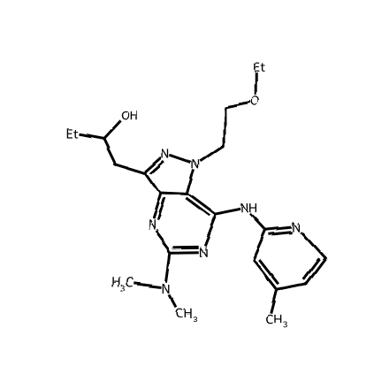 CCOCCn1nc(CC(O)CC)c2nc(N(C)C)nc(Nc3cc(C)ccn3)c21